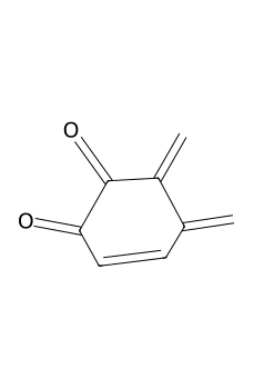 C=C1C=CC(=O)C(=O)C1=C